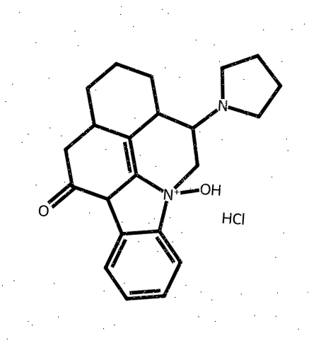 Cl.O=C1CC2CCCC3C2=C2C1c1ccccc1[N+]2(O)CC3N1CCCC1